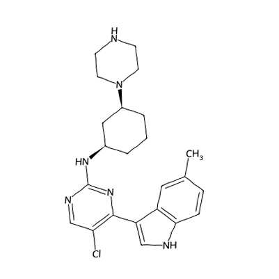 Cc1ccc2[nH]cc(-c3nc(N[C@@H]4CCC[C@H](N5CCNCC5)C4)ncc3Cl)c2c1